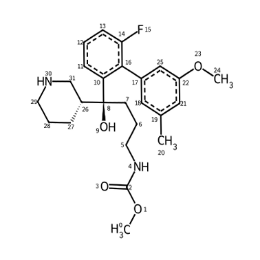 COC(=O)NCCC[C@@](O)(c1cccc(F)c1-c1cc(C)cc(OC)c1)[C@@H]1CCCNC1